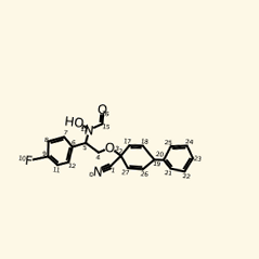 N#CC1(OCC(c2ccc(F)cc2)N(O)C=O)C=CC(c2ccccc2)C=C1